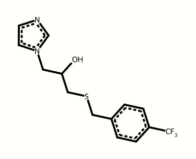 OC(CSCc1ccc(C(F)(F)F)cc1)Cn1ccnc1